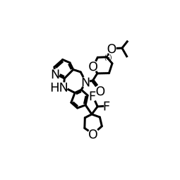 CC(C)O[C@H]1CCC(C(=O)N2Cc3cccnc3Nc3ccc(C4(C(F)F)CCOCC4)cc32)OC1